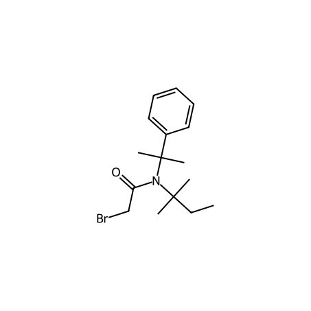 CCC(C)(C)N(C(=O)CBr)C(C)(C)c1ccccc1